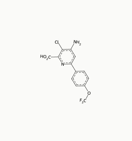 Nc1cc(-c2ccc(OC(F)(F)F)cc2)nc(C(=O)O)c1Cl